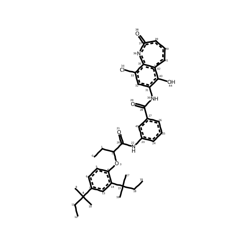 CCC(Oc1ccc(C(C)(C)CC)cc1C(C)(C)CC)C(=O)Nc1cccc(C(=O)Nc2cc(Cl)c3nc(=O)cccc3c2O)c1